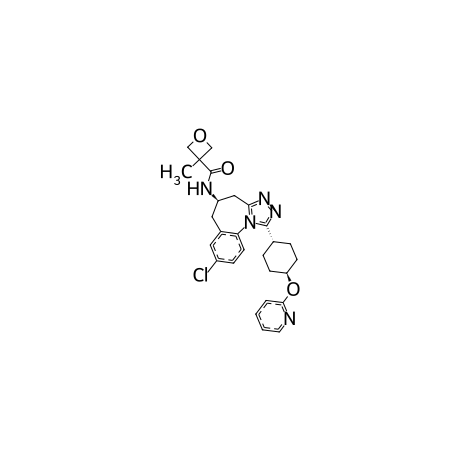 CC1(C(=O)N[C@@H]2Cc3cc(Cl)ccc3-n3c(nnc3[C@H]3CC[C@H](Oc4ccccn4)CC3)C2)COC1